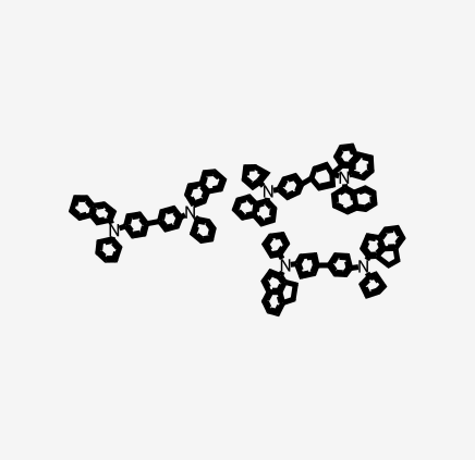 C1=CC(c2ccccc2)(N(c2ccccc2)c2cccc3ccccc23)C=CC1c1ccc(N(c2ccccc2)c2cccc3ccccc23)cc1.c1ccc(N(c2ccc(-c3ccc(N(c4ccccc4)c4ccc5cccc6c5c4CC6)cc3)cc2)c2ccc3cccc4c3c2CC4)cc1.c1ccc(N(c2ccc(-c3ccc(N(c4ccccc4)c4ccc5ccccc5c4)cc3)cc2)c2ccc3ccccc3c2)cc1